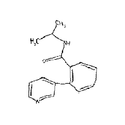 CC(C)NC(=O)c1ccc[c]c1-c1cccnc1